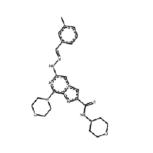 Cc1cccc(/C=N/Nc2cn3cc(C(=O)NC4CCOCC4)nc3c(N3CCOCC3)n2)c1